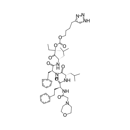 CC[C@@](C)(OC(=O)OCCCCc1c[nH]nn1)C(=O)[C@H](CC(C)C)NC(=O)[C@H](Cc1ccccc1)NC(=O)[C@H](CC(C)C)NC(=O)[C@H](CCc1ccccc1)NC(=O)CN1CCOCC1